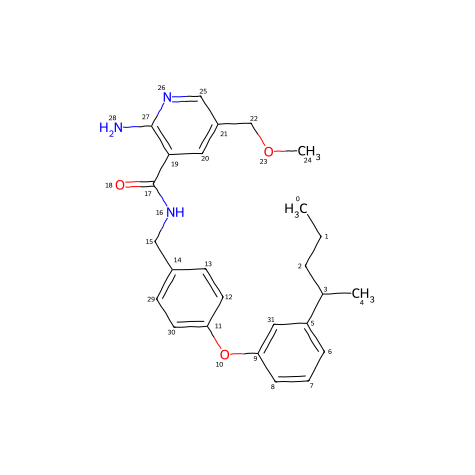 CCCC(C)c1cccc(Oc2ccc(CNC(=O)c3cc(COC)cnc3N)cc2)c1